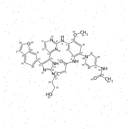 C=CC(=O)Nc1cc(Nc2nccc(-c3[nH]c(CCCO)nc3-c3ccc4ccoc4c3)n2)c(OC)cc1N1C=CC(NC(C)=O)=CC1